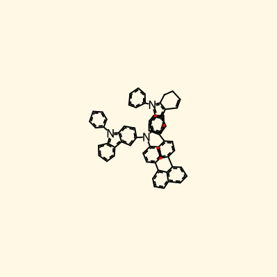 C1=Cc2c(n(-c3ccccc3)c3ccc(-c4ccc(-c5cccc6cccc(-c7ccc(N(c8ccccc8)c8ccc9c(c8)c8ccccc8n9-c8ccccc8)cc7)c56)cc4)cc23)CC1